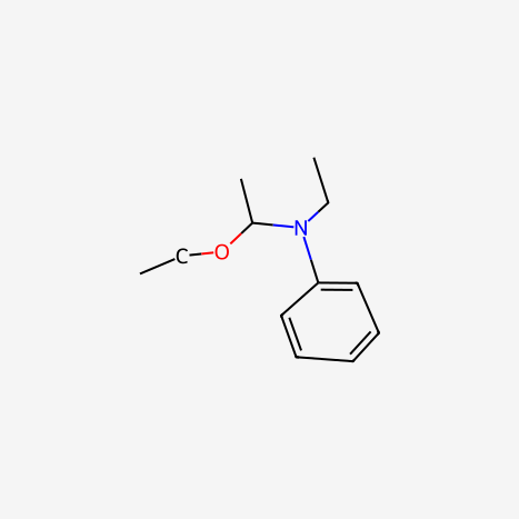 CCOC(C)N(CC)c1ccccc1